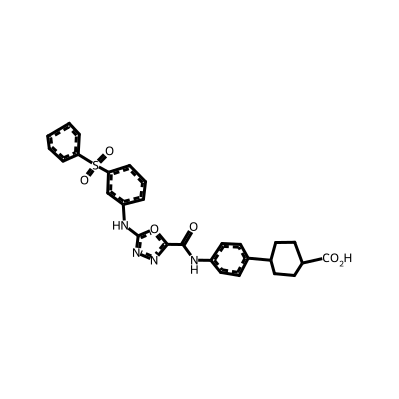 O=C(Nc1ccc(C2CCC(C(=O)O)CC2)cc1)c1nnc(Nc2cccc(S(=O)(=O)c3ccccc3)c2)o1